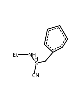 CCN[SH](C#N)Cc1ccccc1